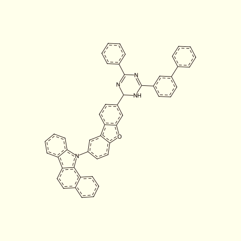 c1ccc(C2=NC(c3ccc4c(c3)oc3ccc(-n5c6ccccc6c6ccc7ccccc7c65)cc34)NC(c3cccc(-c4ccccc4)c3)=N2)cc1